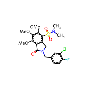 COc1c(OC)c2c(c(S(=O)(=O)N(C)C)c1OC)CN(Cc1ccc(F)c(Cl)c1)C2=O